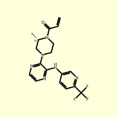 C=CC(=O)N1CCN(c2nccnc2Nc2ccc(C(F)(F)F)nc2)C[C@@H]1C